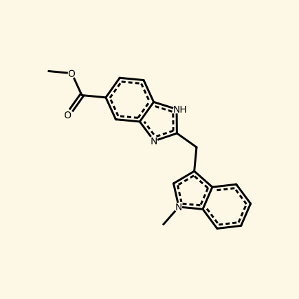 COC(=O)c1ccc2[nH]c(Cc3cn(C)c4ccccc34)nc2c1